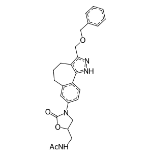 CC(=O)NCC1CN(c2ccc3c(c2)CCCc2c(COCc4ccccc4)n[nH]c2-3)C(=O)O1